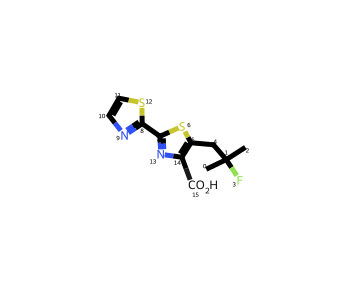 CC(C)(F)Cc1sc(-c2nccs2)nc1C(=O)O